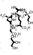 CN1CC(=O)NC1=N.C[N+](C)(C)CCO.N=C(N)NCCCC(N)C(=O)O.NCC(=O)O.OCC(O)CO